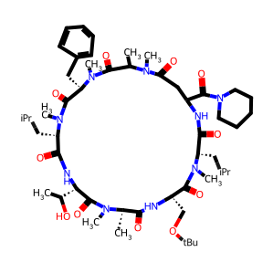 CC(C)C[C@H]1C(=O)NC(C(=O)N2CCCCC2)CC(=O)N(C)C(C)C(=O)N(C)[C@@H](Cc2ccccc2)C(=O)N(C)[C@@H](CC(C)C)C(=O)N[C@@H](C(C)O)C(=O)N(C)[C@@H](C)C(=O)N[C@@H](COC(C)(C)C)C(=O)N1C